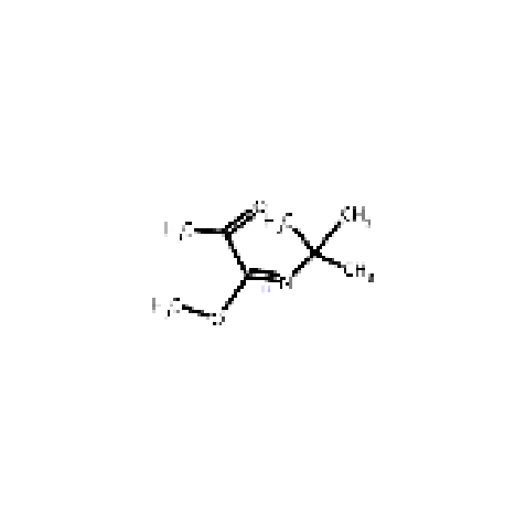 CO/C(=N/C(C)(C)C)C(C)=O